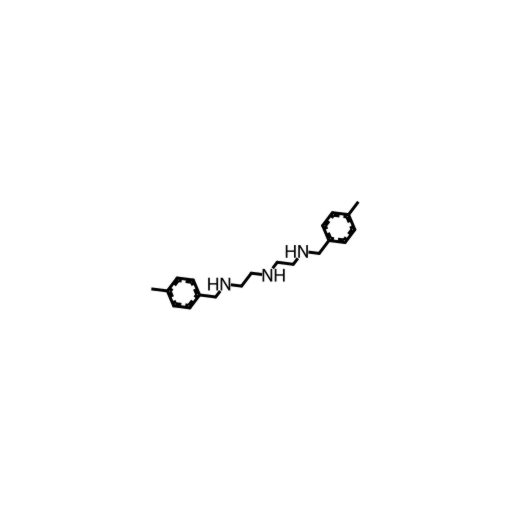 Cc1ccc(CNCCNCCNCc2ccc(C)cc2)cc1